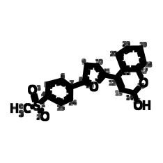 CS(=O)(=O)c1ccc(-c2ccc(C3=CC(O)Oc4ccccc43)o2)cc1